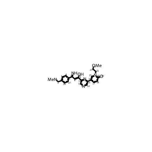 CNCc1ccc(C(=N)/C=C(\O)c2cncc(-c3ccc(=O)n(CCOC)c3)n2)cc1